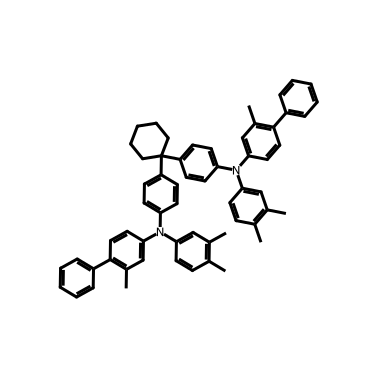 Cc1ccc(N(c2ccc(C3(c4ccc(N(c5ccc(C)c(C)c5)c5ccc(-c6ccccc6)c(C)c5)cc4)CCCCC3)cc2)c2ccc(-c3ccccc3)c(C)c2)cc1C